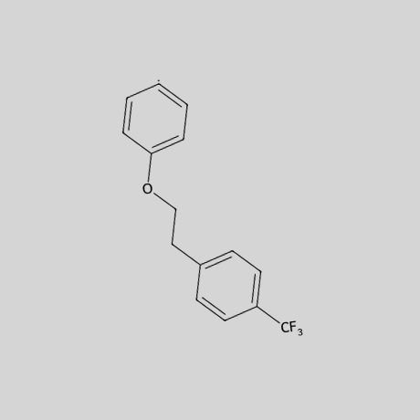 FC(F)(F)c1ccc(CCOc2cc[c]cc2)cc1